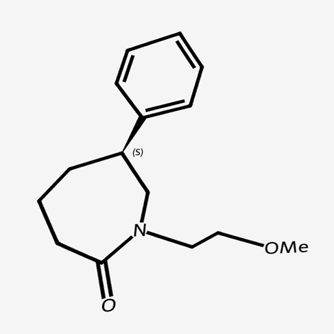 COCCN1C[C@H](c2ccccc2)CCCC1=O